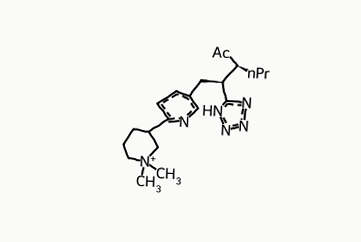 CCC[C@H](C(C)=O)[C@H](Cc1ccc(C2CCC[N+](C)(C)C2)nc1)c1nnn[nH]1